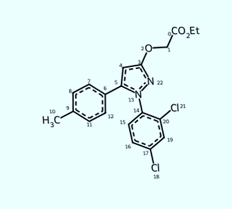 CCOC(=O)COc1cc(-c2ccc(C)cc2)n(-c2ccc(Cl)cc2Cl)n1